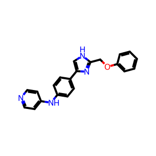 c1ccc(OCc2nc(-c3ccc(Nc4ccncc4)cc3)c[nH]2)cc1